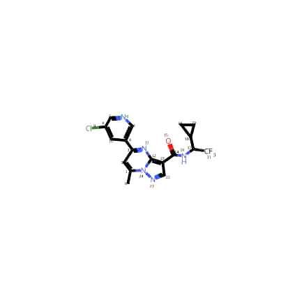 Cc1cc(-c2cncc(Cl)c2)nc2c(C(=O)NC(C3CC3)C(F)(F)F)cnn12